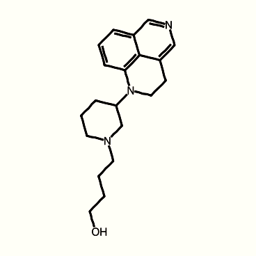 OCCCCN1CCCC(N2CCc3cncc4cccc2c34)C1